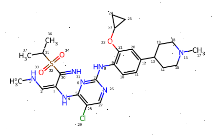 CN/C=C(/Nc1nc(Nc2ccc(C3CCN(C)CC3)cc2OC2CC2)ncc1Cl)C(=N)S(=O)(=O)C(C)C